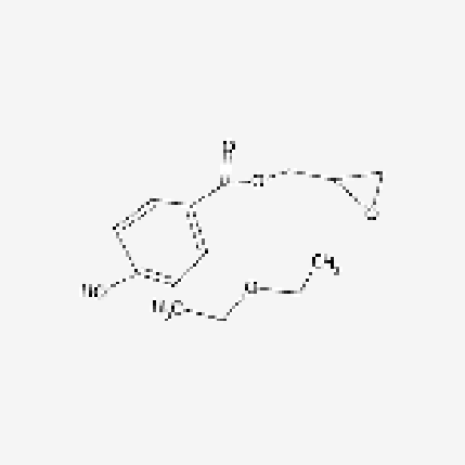 CCOCC.O=C(OCC1CO1)c1ccc(O)cc1